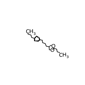 CCCCc1ccc(CCCCC2COC(CCCC)OC2)cc1